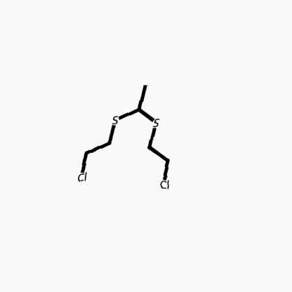 CC(SCCCl)SCCCl